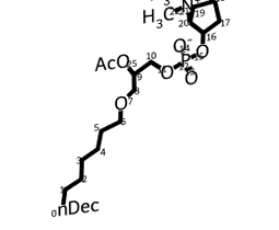 CCCCCCCCCCCCCCCCOCC(COP(=O)([O-])OC1CC2CC1[N+](C)(C)C2)OC(C)=O